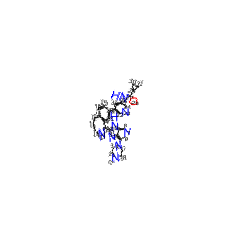 CN1CCN(c2cncc3[nH]c(C4=NCCCc5ccc(-c6cncc(NC(=O)C7CC7)c6)cc54)nc23)CC1